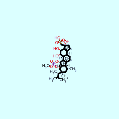 COP(=O)(O)O[C@@H]1[C@H]2C[C@@](C)([C@@H](C)C(C)C)C[C@@H](C)[C@@H]2[C@@]2(C)CC[C@H]3[C@@H]([C@@H](O)[C@@H](O)C4[C@](O)(CS(=O)(=O)O)CC[C@@]43C)[C@H]12